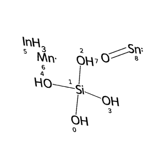 O[Si](O)(O)O.[InH3].[Mn].[O]=[Sn]